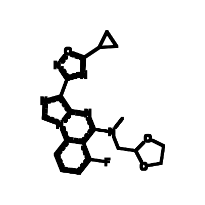 CN(CC1OCCO1)c1nc2c(-c3noc(C4CC4)n3)ncn2c2cccc(F)c12